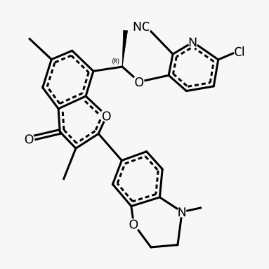 Cc1cc([C@@H](C)Oc2ccc(Cl)nc2C#N)c2oc(-c3ccc4c(c3)OCCN4C)c(C)c(=O)c2c1